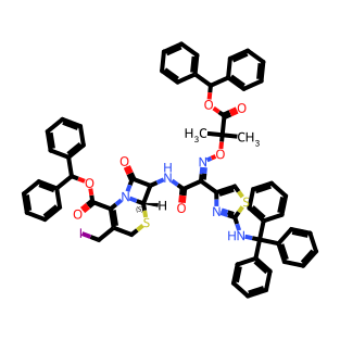 CC(C)(ON=C(C(=O)NC1C(=O)N2C(C(=O)OC(c3ccccc3)c3ccccc3)=C(CI)CS[C@@H]12)c1csc(NC(c2ccccc2)(c2ccccc2)c2ccccc2)n1)C(=O)OC(c1ccccc1)c1ccccc1